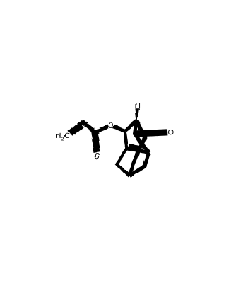 C=CC(=O)OC1C2=C3CC(C2)C[C@@H]1C3=O